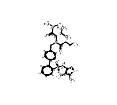 CCCC(=O)N(Cc1ccc(-c2ccccc2S(=O)(=O)Nc2noc(C)c2C)cc1)[C@H](C(=O)N(C)C)C(C)C